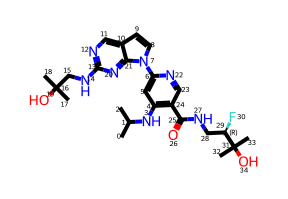 CC(C)Nc1cc(-n2ccc3cnc(NCC(C)(C)O)nc32)ncc1C(=O)NC[C@@H](F)C(C)(C)O